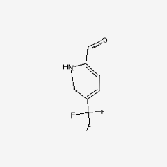 O=CC1=CC=C(C(F)(F)F)CN1